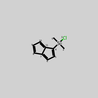 C[Si](C)(Cl)C1=CC=C2C=CC=C21